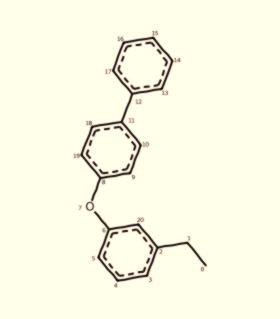 CCc1cccc(Oc2ccc(-c3ccccc3)cc2)c1